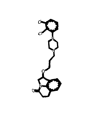 O=C1CCc2cccc3c2N1CC3OCCCN1CCN(c2cccc(Cl)c2Cl)CC1